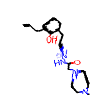 C=CCc1cccc(C/C=N/NC(=O)CN2CCN(C)CC2)c1O